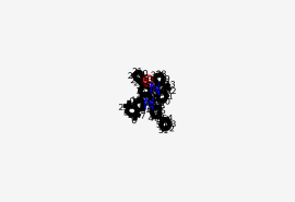 CC1(C)CCC(C)(C)c2cc3c(cc21)-c1cc2c(oc4ccccc42)c2c1B(c1cccc4c1N2c1ccccc1C4(C)C)N3c1ccc(-c2ccccc2)cc1